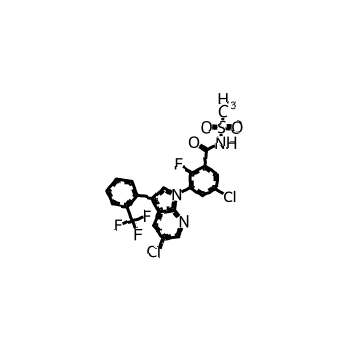 CS(=O)(=O)NC(=O)c1cc(Cl)cc(-n2cc(-c3ccccc3C(F)(F)F)c3cc(Cl)cnc32)c1F